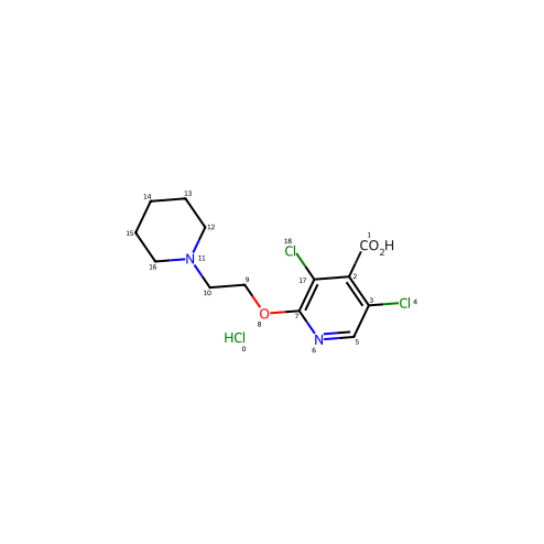 Cl.O=C(O)c1c(Cl)cnc(OCCN2CCCCC2)c1Cl